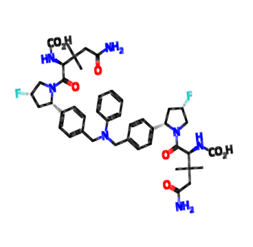 CC(C)(CC(N)=O)[C@H](NC(=O)O)C(=O)N1C[C@@H](F)C[C@H]1c1ccc(CN(Cc2ccc([C@@H]3C[C@H](F)CN3C(=O)[C@@H](NC(=O)O)C(C)(C)CC(N)=O)cc2)c2ccccc2)cc1